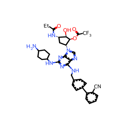 CCC(=O)N[C@H]1C[C@@H](n2cnc3c(NCc4ccc(-c5ccccc5C#N)cc4)nc(NC4CCC(N)CC4)nc32)[C@H](OC(=O)C(F)(F)F)[C@@H]1O